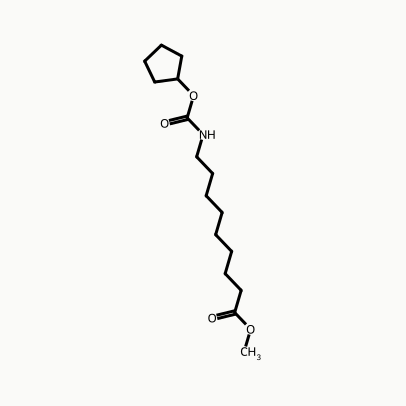 COC(=O)CCCCCCCCNC(=O)OC1CCCC1